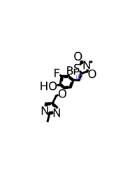 Cc1ncc(COc2cc(/C=C3\SC(=O)N(C)C3=O)c(Br)c(F)c2O)cn1